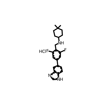 CC1(C)CCC(NCc2c(F)cc(-c3ccc4[nH]cnc4c3)cc2F)CC1.Cl